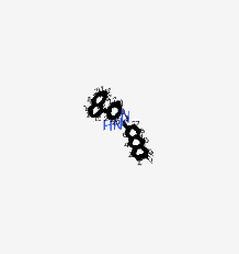 c1ccc2cc3cc(-c4nc5ccc(-c6cccc7ccccc67)cc5[nH]4)ccc3cc2c1